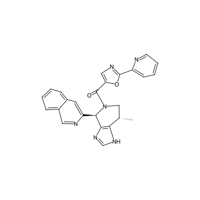 C[C@H]1CN(C(=O)c2cnc(-c3ccccn3)o2)[C@H](c2cc3ccccc3cn2)c2nc[nH]c21